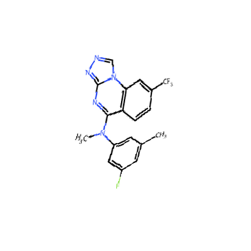 Cc1cc(F)cc(N(C)c2nc3nncn3c3cc(C(F)(F)F)ccc23)c1